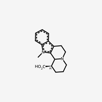 Cn1c2c(c3ccccc31)CCN1CCC[C@@H](C(=O)O)C21